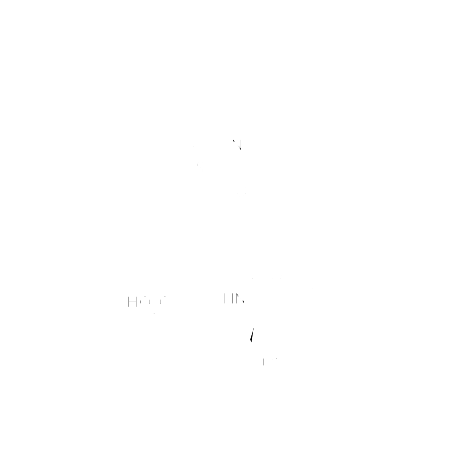 Cc1cc(C)cc([C@@H](CC(C)C)NC(=O)c2cc(Oc3nc4ccccc4s3)ccc2CCC(=O)O)c1